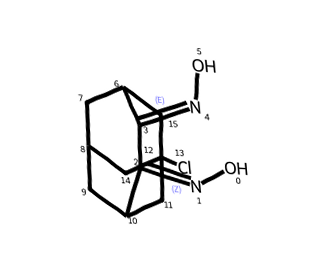 O/N=C1\C(=N\O)C2CC3CC1CC(Cl)(C3)C2